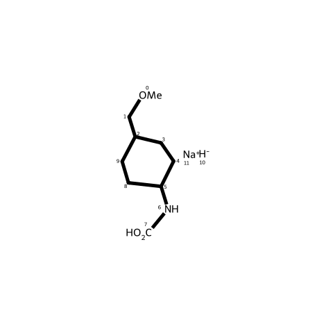 COCC1CCC(NC(=O)O)CC1.[H-].[Na+]